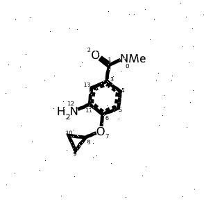 CNC(=O)c1ccc(OC2CC2)c(N)c1